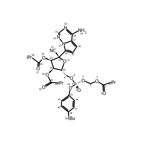 CC(C)C(=O)OCO[P@@](=O)(OC[C@H]1O[C@@](C#N)(c2ccc3c(N)ncnn23)[C@H](OC(=O)C(C)C)[C@@H]1OC(=O)C(C)C)Oc1ccc(C(C)(C)C)cc1